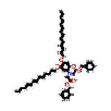 CCCCCCCCCCCCCCOc1ccc(N(CC(=O)OCc2ccccc2)CC(=O)OCc2ccccc2)cc1OCCCCCCCCCCCCCC